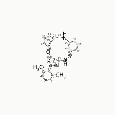 Cc1cccc(C)c1-c1cc2cc(n1)NSc1cccc(c1)NCc1cccc(c1)O2